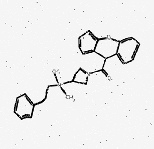 C[N+](C)(CCc1ccccc1)C1CN(C(=O)C2c3ccccc3Oc3ccccc32)C1